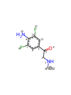 CCCCNCC(=O)c1cc(F)c(N)c(F)c1